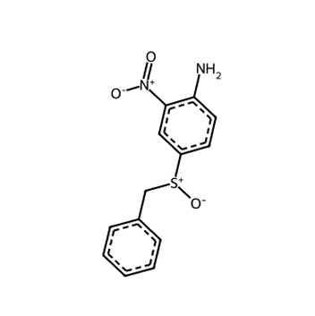 Nc1ccc([S+]([O-])Cc2ccccc2)cc1[N+](=O)[O-]